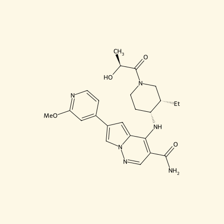 CC[C@H]1CN(C(=O)[C@H](C)O)CC[C@H]1Nc1c(C(N)=O)cnn2cc(-c3ccnc(OC)c3)cc12